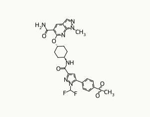 Cn1ncc2cc(C(N)=O)c(O[C@H]3CC[C@H](NC(=O)c4cc(-c5ccc(S(C)(=O)=O)cc5)n(C(F)F)n4)CC3)nc21